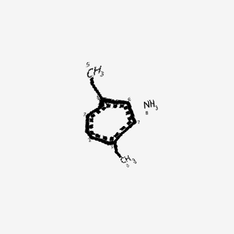 Cc1ccc(C)cc1.N